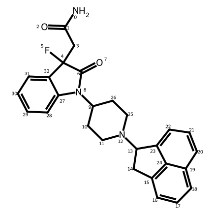 NC(=O)CC1(F)C(=O)N(C2CCN(C3Cc4cccc5cccc3c45)CC2)c2ccccc21